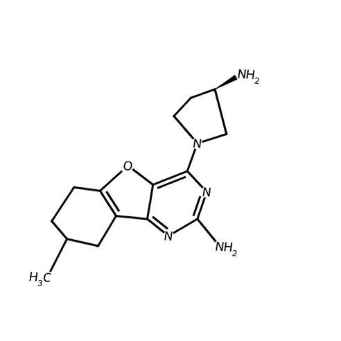 CC1CCc2oc3c(N4CC[C@@H](N)C4)nc(N)nc3c2C1